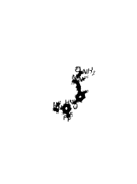 Cc1ccc(C(=O)Nc2cc(-n3ccnc3)cc(C(F)(F)F)c2)cc1C#Cc1cnc(C(N)=O)n1C